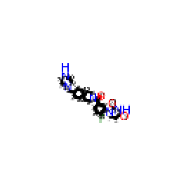 O=C1CCN(c2cc(C(=O)N3CCC4(CCC(CN5CCNCC5)CC4)CC3)ccc2F)C(=O)N1